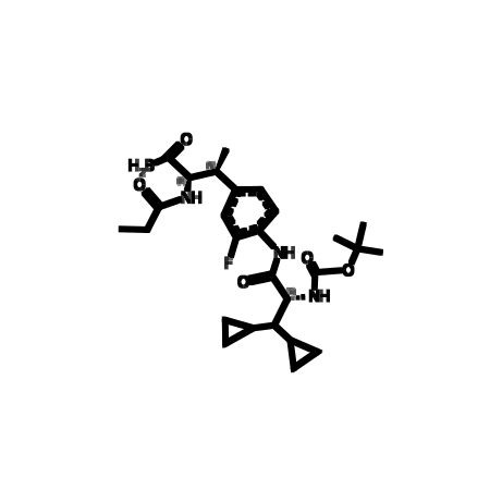 BC(=O)[C@H](NC(=O)CC)[C@@H](C)c1ccc(NC(=O)[C@H](NC(=O)OC(C)(C)C)C(C2CC2)C2CC2)c(F)c1